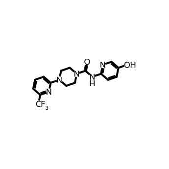 O=C(Nc1ccc(O)cn1)N1CCN(c2cccc(C(F)(F)F)n2)CC1